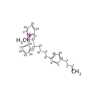 C=CCCc1ccc(CCCCCC[PH](C)(c2ccccc2)c2ccccc2)cc1